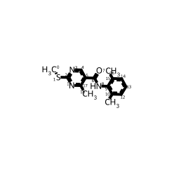 CSc1ncc(C(=O)Nc2c(C)cccc2C)c(C)n1